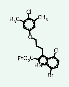 CCOC(=O)c1[nH]c2c(Br)ccc(Cl)c2c1CCCOc1cc(C)c(Cl)c(C)c1